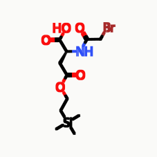 C[Si](C)(C)CCOC(=O)C[C@H](NC(=O)CBr)C(=O)O